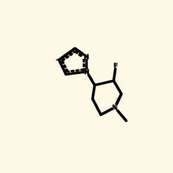 CN1CCC(n2c[c]cn2)C(F)C1